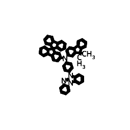 CC1(C)c2ccccc2-c2ccc(N(c3ccc(-n4c5ccccc5n5c6ccccc6nc45)cc3)c3ccc4c(c3)C3(c5ccccc5-c5ccccc53)c3ccccc3-4)cc21